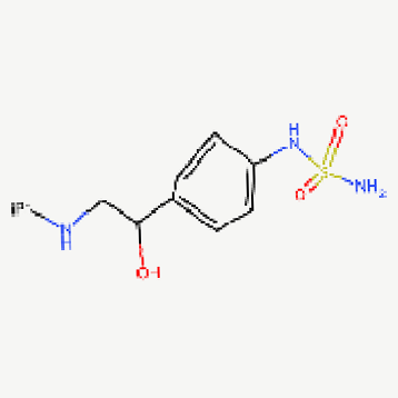 CC(C)NCC(O)c1ccc(NS(N)(=O)=O)cc1